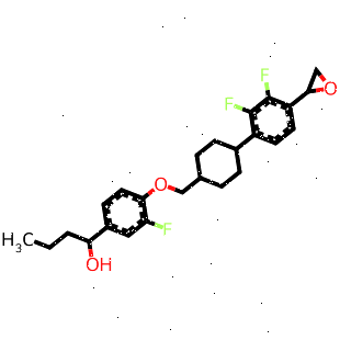 CCCC(O)c1ccc(OCC2CCC(c3ccc(C4CO4)c(F)c3F)CC2)c(F)c1